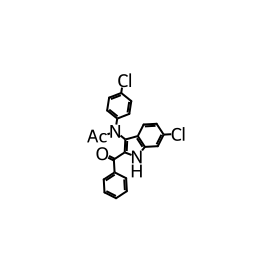 CC(=O)N(c1ccc(Cl)cc1)c1c(C(=O)c2ccccc2)[nH]c2cc(Cl)ccc12